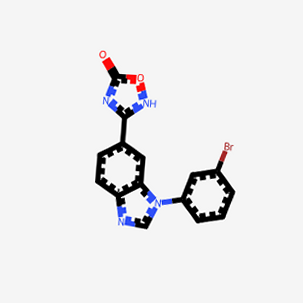 O=c1nc(-c2ccc3ncn(-c4cccc(Br)c4)c3c2)[nH]o1